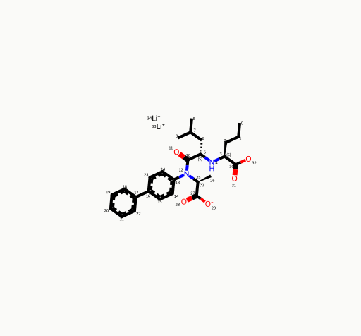 CCC[C@H](N[C@@H](CC(C)C)C(=O)N(c1ccc(-c2ccccc2)cc1)[C@@H](C)C(=O)[O-])C(=O)[O-].[Li+].[Li+]